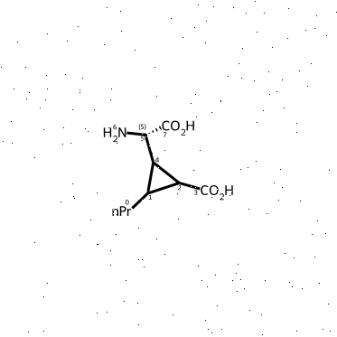 CCCC1C(C(=O)O)C1[C@H](N)C(=O)O